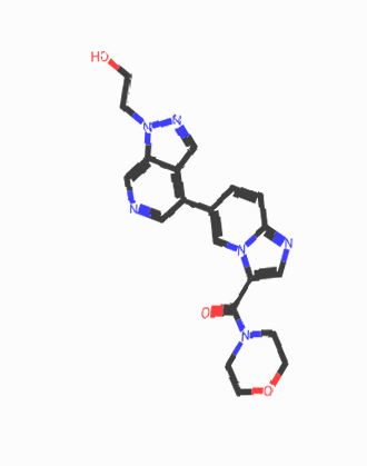 O=C(c1cnc2ccc(-c3cncc4c3cnn4CCO)cn12)N1CCOCC1